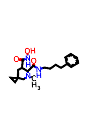 CN1CC2(CC2)CC(C(=O)NO)C1C(=O)NCCCCc1ccccc1